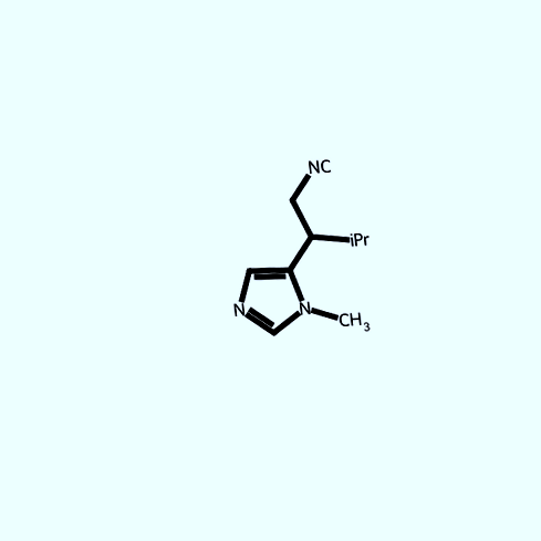 [C-]#[N+]CC(c1cncn1C)C(C)C